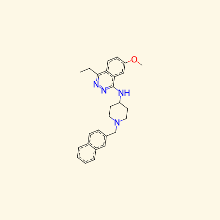 CCc1nnc(NC2CCN(Cc3ccc4ccccc4c3)CC2)c2cc(OC)ccc12